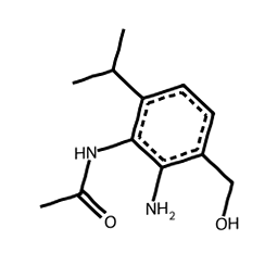 CC(=O)Nc1c(C(C)C)ccc(CO)c1N